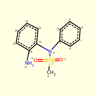 CS(=O)(=O)N(c1ccccc1)c1ccccc1N